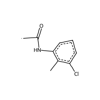 [CH2]C(=O)Nc1cccc(Cl)c1C